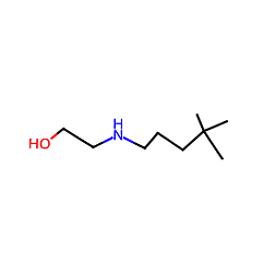 CC(C)(C)CCCNCCO